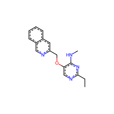 CCc1ncc(OCc2cc3ccccc3cn2)c(NC)n1